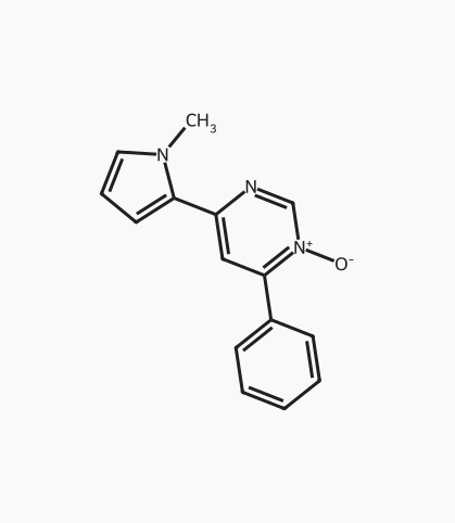 Cn1cccc1-c1cc(-c2ccccc2)[n+]([O-])cn1